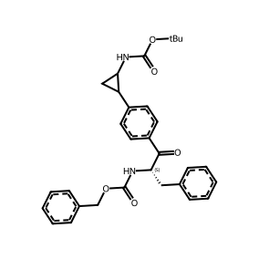 CC(C)(C)OC(=O)NC1CC1c1ccc(C(=O)[C@H](Cc2ccccc2)NC(=O)OCc2ccccc2)cc1